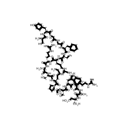 CC(C)C[C@H](NC(=O)[C@H](Cc1ccccc1)NC(=O)CNC(=O)CNC(=O)[C@H](Cc1ccc(O)cc1)NC(=O)[C@@H](N)CS)C(=O)N[C@@H](CCCNC(=N)N)C(=O)N[C@@H](CCCNC(=N)N)C(=O)N[C@@H](C)C(=O)N[C@@H](CS)C(=O)N[C@@H](CCCCN)C(=O)N1CCC[C@H]1C(=O)N[C@@H](CO)C(=O)N[C@@H](Cc1c[nH]c2ccccc12)C(=O)N[C@@H](CCCNC(=N)N)C(=O)N[C@@H](C)C(=O)N[C@@H](CC(=O)O)C(=O)O